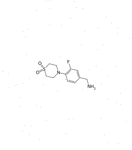 NCc1ccc(N2CCS(=O)(=O)CC2)c(F)c1